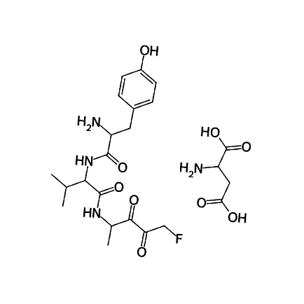 CC(NC(=O)C(NC(=O)C(N)Cc1ccc(O)cc1)C(C)C)C(=O)C(=O)CF.NC(CC(=O)O)C(=O)O